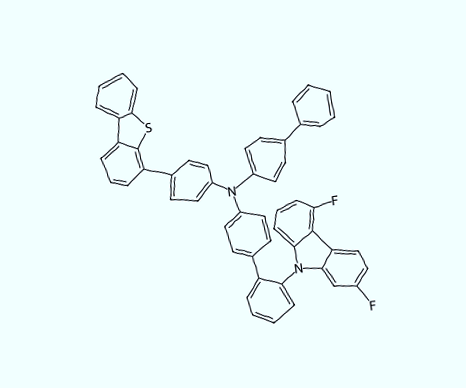 Fc1ccc2c3c(F)cccc3n(-c3ccccc3-c3ccc(N(c4ccc(-c5ccccc5)cc4)c4ccc(-c5cccc6c5sc5ccccc56)cc4)cc3)c2c1